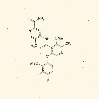 COc1c(Oc2cnc(C(F)(F)F)c(OC)c2C(=O)Nc2cc(C(N)=O)ncc2C)ccc(F)c1F